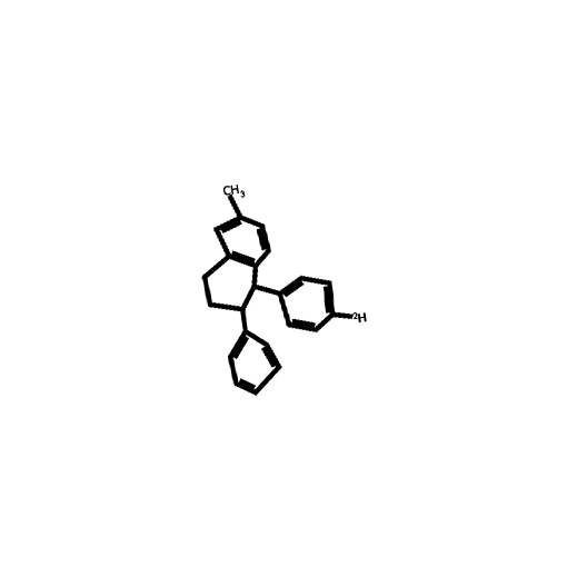 [2H]c1ccc(C2c3ccc(C)cc3CCC2c2ccccc2)cc1